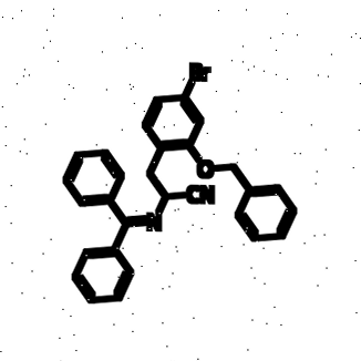 N#CC(Cc1ccc(Br)cc1OCc1ccccc1)N=C(c1ccccc1)c1ccccc1